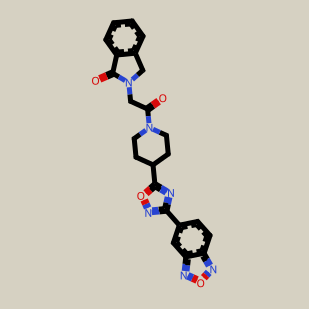 O=C(CN1Cc2ccccc2C1=O)N1CCC(c2nc(-c3ccc4nonc4c3)no2)CC1